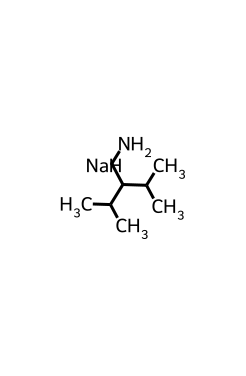 CC(C)C(CN)C(C)C.[NaH]